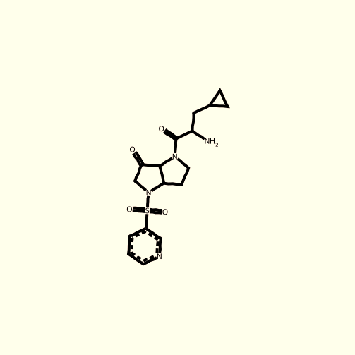 NC(CC1CC1)C(=O)N1CCC2C1C(=O)CN2S(=O)(=O)c1cccnc1